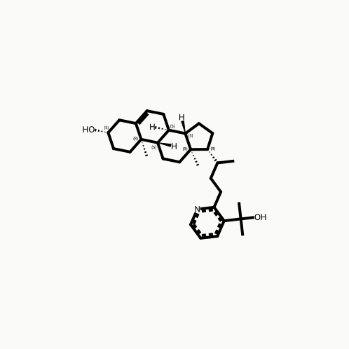 CC(CCc1ncccc1C(C)(C)O)[C@H]1CC[C@H]2[C@@H]3CC=C4C[C@@H](O)CC[C@]4(C)[C@H]3CC[C@]12C